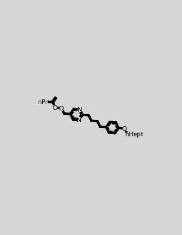 C=C(C[CH-][CH2+])OOCc1cnc(CCCCc2ccc(OCCCCCCC)cc2)nc1